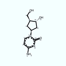 Nc1ccn([C@H]2C[C@@H](CO)[C@H](O)C2)c(=O)n1